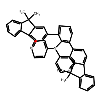 CC1(C)c2ccccc2-c2ccc(-c3cccc(-c4ccc5c(c4)C(C)(C)c4ccccc4-5)c3N(c3ccncc3)c3ccncc3)cc21